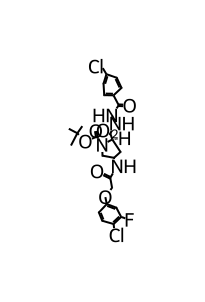 [2H][C@]1(C(=O)NNC(=O)c2ccc(Cl)cc2)C[C@H](NC(=O)COc2ccc(Cl)c(F)c2)CN1C(=O)OC(C)(C)C